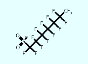 O=S(=O)(F)C(F)(F)C(F)(F)C(F)(F)C(F)(F)C(F)(F)C(F)(F)C(F)(F)F